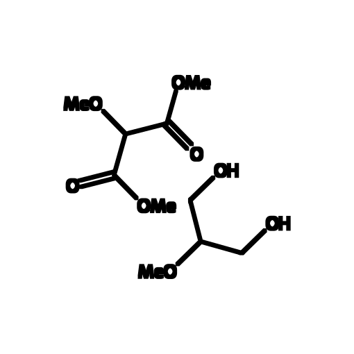 COC(=O)C(OC)C(=O)OC.COC(CO)CO